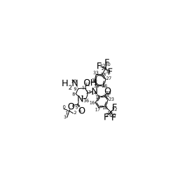 CC(C)(C)OC(=O)N1C[C@H](N)[C@H](O)[C@@H](N2c3ccc(C(F)(F)F)cc3Oc3cc(C(F)(F)F)ccc32)C1